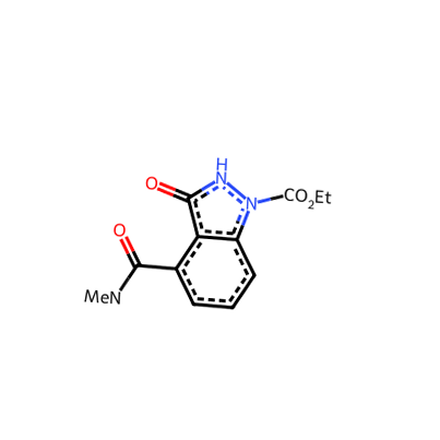 CCOC(=O)n1[nH]c(=O)c2c(C(=O)NC)cccc21